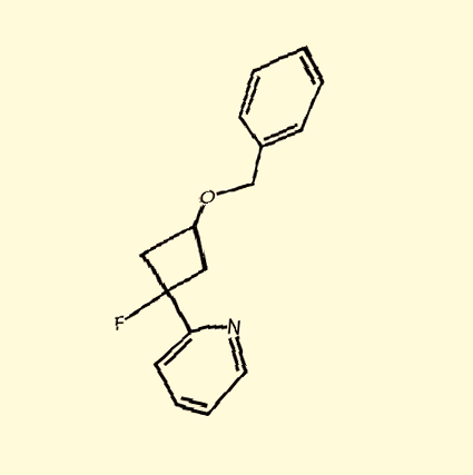 FC1(c2ccccn2)CC(OCc2ccccc2)C1